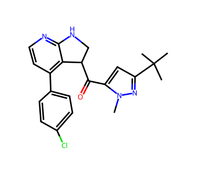 Cn1nc(C(C)(C)C)cc1C(=O)C1CNc2nccc(-c3ccc(Cl)cc3)c21